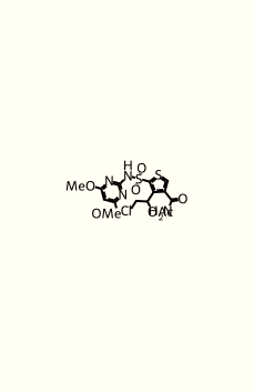 COc1cc(OC)nc(NS(=O)(=O)c2scc(C(N)=O)c2C(CCl)OC(C)=O)n1